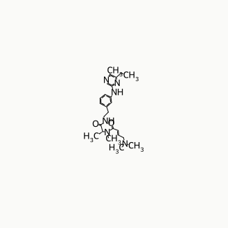 CCc1nc(Nc2cccc(CCNC(=O)[C@H](C)N(C)C(=O)/C=C/CN(C)C)c2)cnc1C